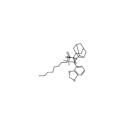 CCCCCCCCNC(=O)C12CC3CC(C1)C(N1C(=O)C(C)(C)C1c1cccc4c1OCO4)C(C3)C2